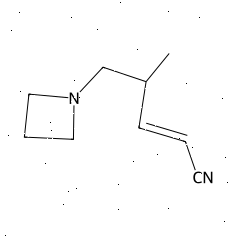 CC(C=CC#N)CN1CCC1